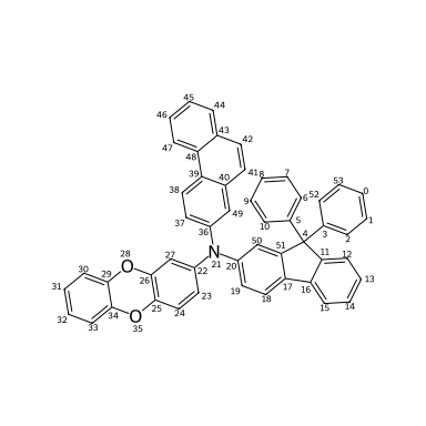 c1ccc(C2(c3ccccc3)c3ccccc3-c3ccc(N(c4ccc5c(c4)Oc4ccccc4O5)c4ccc5c(ccc6ccccc65)c4)cc32)cc1